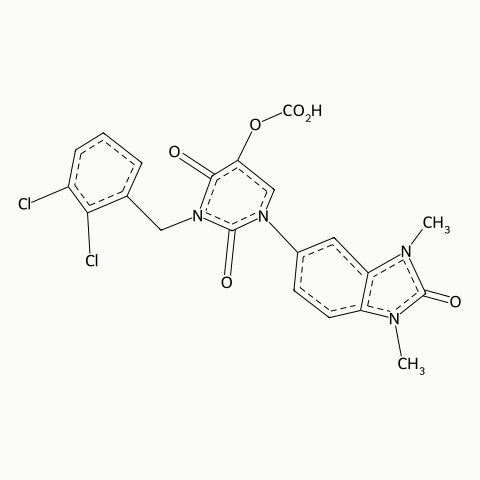 Cn1c(=O)n(C)c2cc(-n3cc(OC(=O)O)c(=O)n(Cc4cccc(Cl)c4Cl)c3=O)ccc21